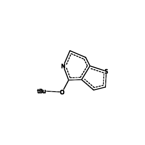 CC(C)(C)Oc1nccc2sccc12